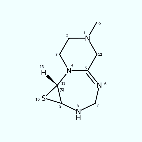 CN1CCN2C(=NCNC3S[C@@H]32)C1